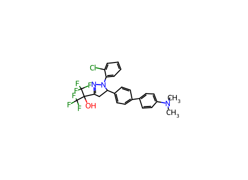 CN(C)c1ccc(-c2ccc(C3CC(C(O)(C(F)(F)F)C(F)(F)F)=NN3c3ccccc3Cl)cc2)cc1